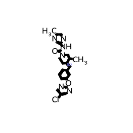 Cc1cnc(NC(=O)N2CC/C(=C\c3cccc(Oc4ncc(Cl)cn4)c3)C(C)C2)cn1